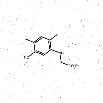 CCOC(=O)CNc1cc(C#N)c(C)cc1C